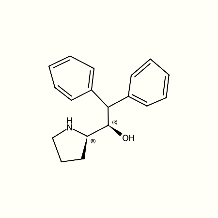 O[C@H](C(c1ccccc1)c1ccccc1)[C@H]1CCCN1